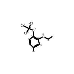 [CH2]c1ccc(OC(Cl)(Cl)Cl)c(OCC)c1